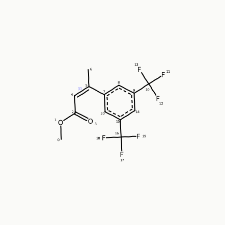 COC(=O)/C=C(/C)c1cc(C(F)(F)F)cc(C(F)(F)F)c1